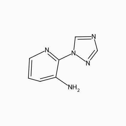 Nc1cccnc1-n1cncn1